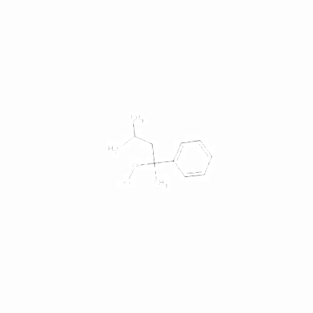 CC(C)CC(C)(OO)c1ccccc1